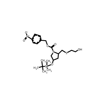 CC(C)(C)[Si](C)(C)OC1CC(CSCCO)N(C(=O)OCc2ccc([N+](=O)[O-])cc2)C1